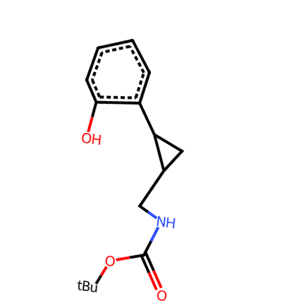 CC(C)(C)OC(=O)NCC1CC1c1ccccc1O